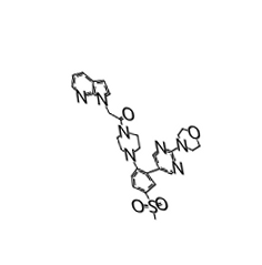 CS(=O)(=O)c1ccc(N2CCN(C(=O)Cn3ccc4cccnc43)CC2)c(-c2cnc(N3CCOCC3)nc2)c1